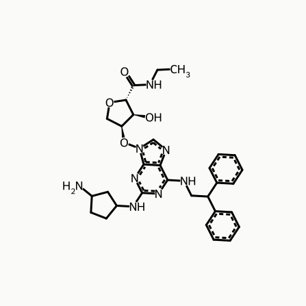 CCNC(=O)[C@H]1OC[C@H](On2cnc3c(NCC(c4ccccc4)c4ccccc4)nc(NC4CCC(N)C4)nc32)[C@@H]1O